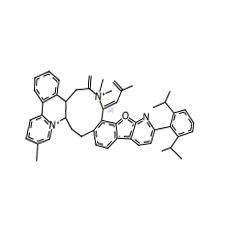 C=C(C)/C=C1/c2c(ccc3c2oc2nc(-c4c(C(C)C)cccc4C(C)C)ccc23)CCC2C(CC(=C)[N+]1(C)C)c1ccccc1-c1ccc(C)c[n+]12